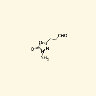 Nn1nc(CCC=O)oc1=O